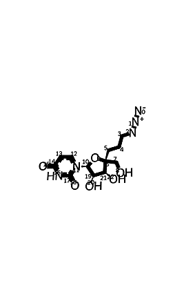 [N-]=[N+]=NCCC[C@]1(CO)O[C@@H](n2ccc(=O)[nH]c2=O)[C@@H](O)[C@H]1O